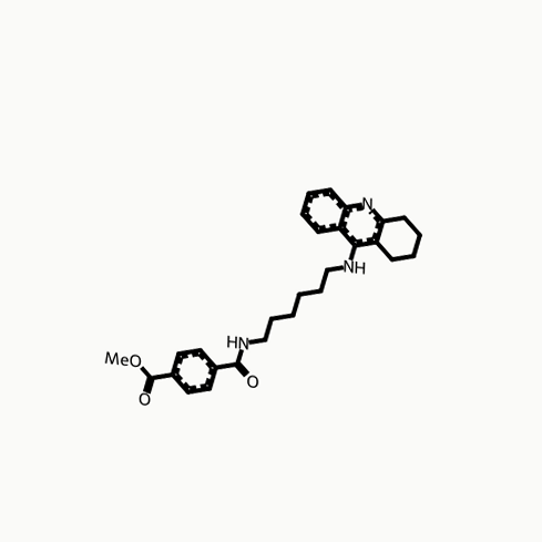 COC(=O)c1ccc(C(=O)NCCCCCCNc2c3c(nc4ccccc24)CCCC3)cc1